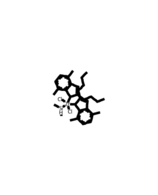 CCCCC1=Cc2c(C)ccc(C)c2[CH]1[Zr]([Cl])([Cl])([CH]1C(CCCC)=Cc2c(C)ccc(C)c21)[SiH](C)C